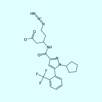 N=[N+]=NCCC(CC(=O)[O-])NC(=O)c1cc(-c2ccccc2C(F)(F)F)n(C2CCCC2)n1